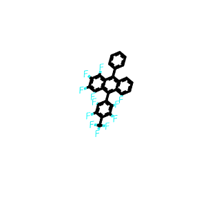 Fc1c(F)c(C(F)(F)F)c(F)c(F)c1-c1c2c(F)cccc2c(-c2ccccc2)c2c(F)c(F)c(F)c(F)c12